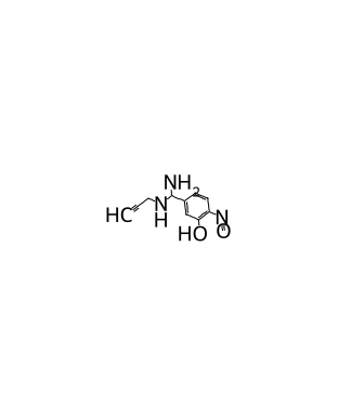 C#CCNC(N)c1ccc(N=O)c(O)c1